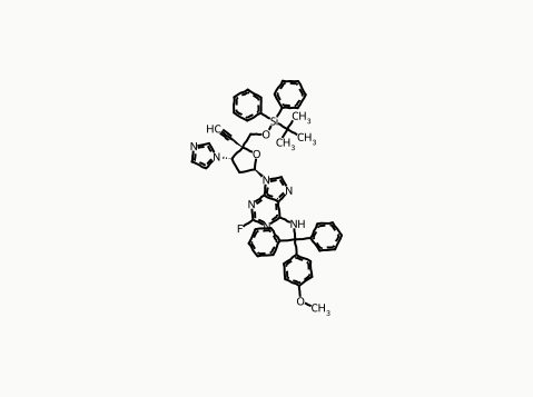 C#C[C@@]1(CO[Si](c2ccccc2)(c2ccccc2)C(C)(C)C)O[C@@H](n2cnc3c(NC(c4ccccc4)(c4ccccc4)c4ccc(OC)cc4)nc(F)nc32)C[C@@H]1n1ccnc1